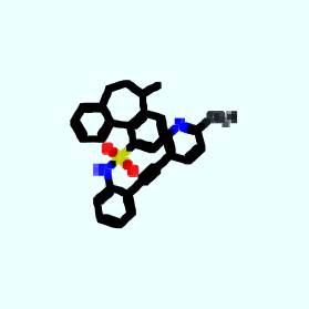 CC1CCc2ccccc2-c2c1cccc2S(=O)(=O)Nc1ccccc1C#Cc1ccc(C(=O)O)nc1